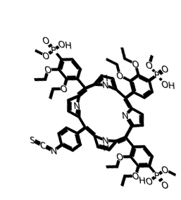 CCOc1c(-c2c3nc(c(-c4ccc(P(=O)(O)OC)c(OCC)c4OCC)c4ccc([nH]4)c(-c4ccc(P(=O)(O)OC)c(OCC)c4OCC)c4nc(c(-c5ccc(N=C=S)cc5)c5ccc2[nH]5)C=C4)C=C3)ccc(P(=O)(O)OC)c1OCC